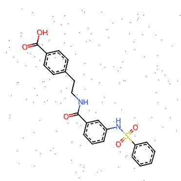 O=C(O)c1ccc(CCNC(=O)c2cccc(NS(=O)(=O)c3ccccc3)c2)cc1